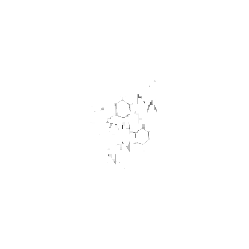 CN1CCN(c2cccc(F)c2Cc2cc(N3CCCC3=O)ccc2C2(O)CCCC2)CC1